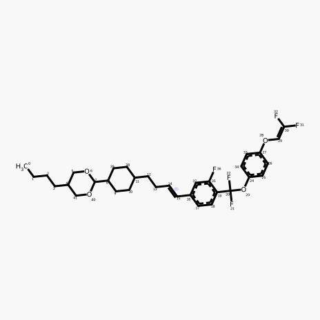 CCCCC1COC(C2CCC(CC/C=C/c3ccc(C(F)(F)Oc4ccc(OC=C(F)F)cc4)c(F)c3)CC2)OC1